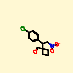 O=CC1(C(C[N+](=O)[O-])c2ccc(Cl)cc2)CCC1